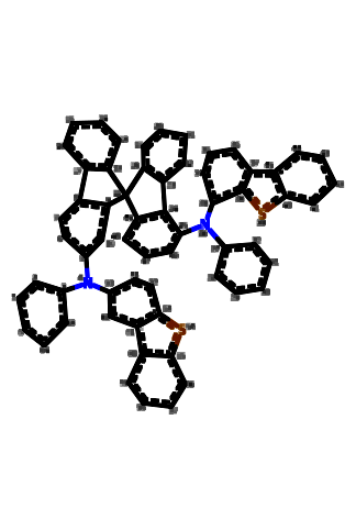 c1ccc(N(c2ccc3c(c2)C2(c4ccccc4-3)c3ccccc3-c3c(N(c4ccccc4)c4cccc5c4sc4ccccc45)cccc32)c2ccc3sc4ccccc4c3c2)cc1